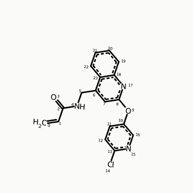 C=CC(=O)NCc1cc(Oc2ccc(Cl)nc2)nc2ccccc12